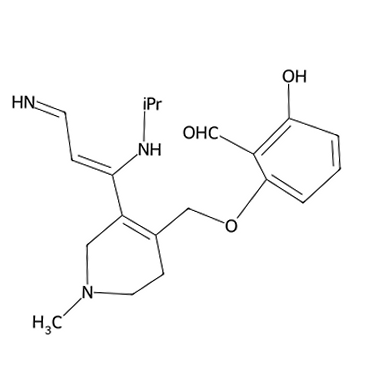 CC(C)N/C(=C\C=N)C1=C(COc2cccc(O)c2C=O)CCN(C)C1